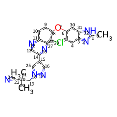 Cc1nc2ccc(Oc3ccc4ncc(-c5cnn(CC(C)(C)C#N)c5)nc4c3Cl)cc2[nH]1